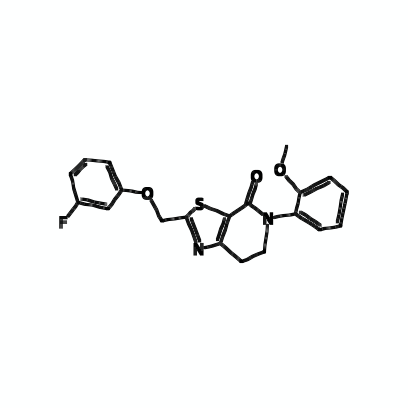 COc1ccccc1N1CCc2nc(COc3cccc(F)c3)sc2C1=O